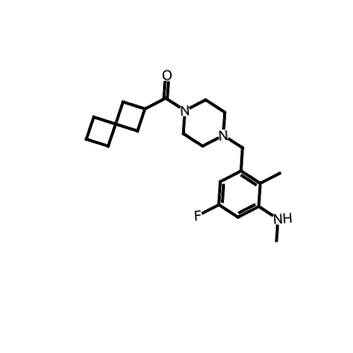 CNc1cc(F)cc(CN2CCN(C(=O)C3CC4(CCC4)C3)CC2)c1C